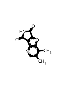 Cc1cnc2c3c(oc2c1C)C(=O)NC3=O